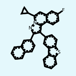 Fc1ccc2c(c1)cc(C1CC1)n1nc(-c3ccc4ccccc4c3)c(-c3ccc4sc5ccccc5c4c3)c21